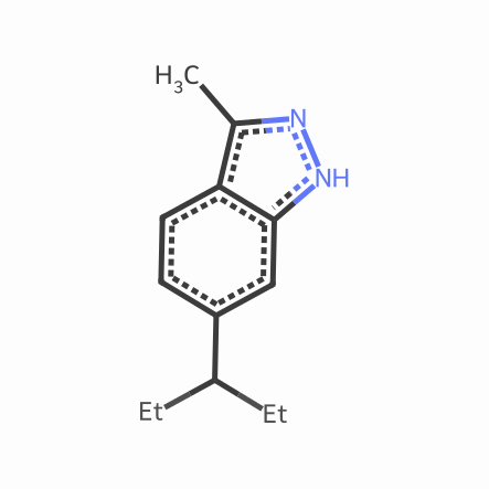 CCC(CC)c1ccc2c(C)n[nH]c2c1